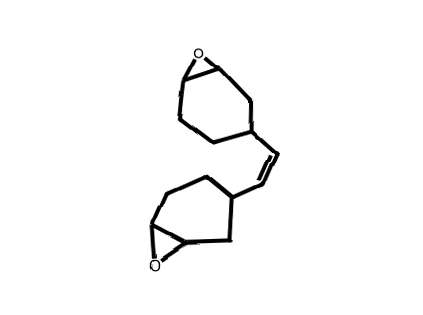 C(=C/C1CCC2OC2C1)/C1CCC2OC2C1